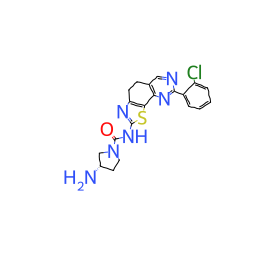 N[C@H]1CCN(C(=O)Nc2nc3c(s2)-c2nc(-c4ccccc4Cl)ncc2CC3)C1